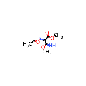 CCO/N=C(\C(=N)OC)C(=O)OC